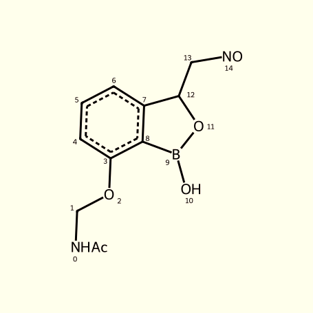 CC(=O)NCOc1cccc2c1B(O)OC2CN=O